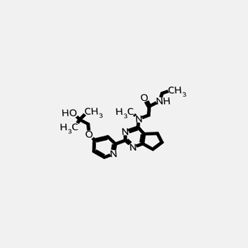 CCNC(=O)CN(C)c1nc(-c2cc(OCC(C)(C)O)ccn2)nc2c1CCC2